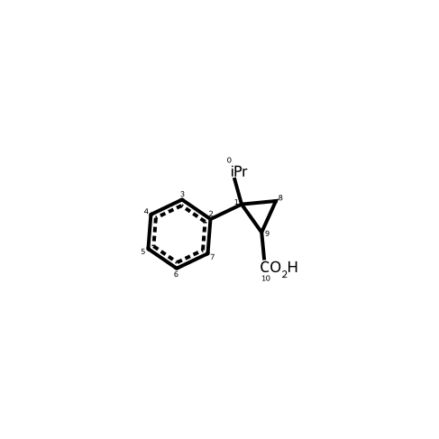 CC(C)C1(c2ccccc2)CC1C(=O)O